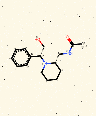 O=C(NC[C@@H]1CCCCN1[C@@H](CO)c1ccccc1)C(F)(F)F